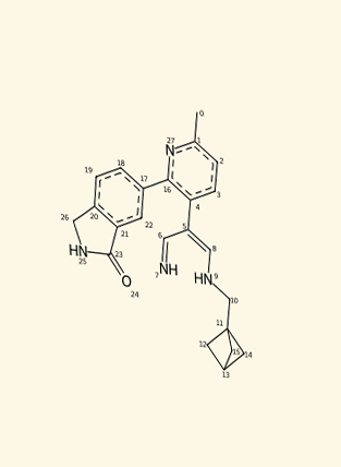 Cc1ccc(/C(C=N)=C/NCC23CC(C2)C3)c(-c2ccc3c(c2)C(=O)NC3)n1